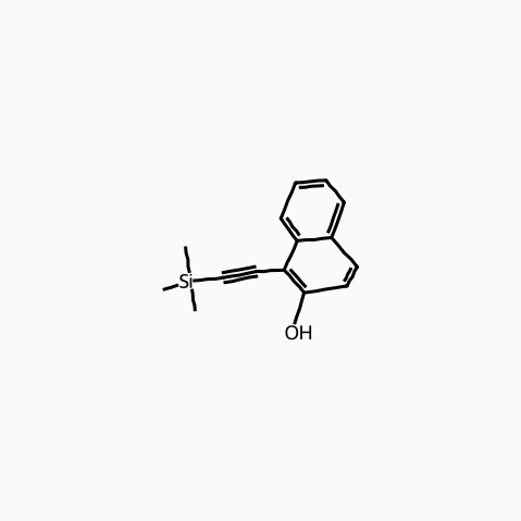 C[Si](C)(C)C#Cc1c(O)ccc2ccccc12